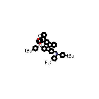 CC(C)(C)c1ccc(/C(=C/c2ccc3c(c2)C2(c4ccccc4-c4cc5c6ccccc6c6ccccc6c5cc42)c2cc(N(c4ccc(C(C)(C)C)cc4)c4ccc(C(F)(F)F)cc4)ccc2-3)c2ccc(C(F)(F)F)cc2)cc1